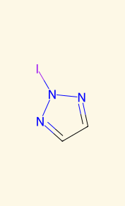 In1nccn1